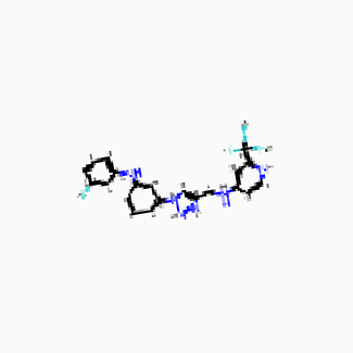 Fc1cccc(Nc2cccc(-n3cc(CNc4ccnc(C(F)(F)F)c4)nn3)c2)c1